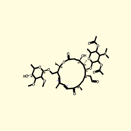 COC1C(OC)[C@H](O)C(C)O[C@H]1OCC1/C=C(C)/C=C/C(=O)[C@H](C)C[C@H](CC=O)[C@H](OC2OC(C)C(OC(C)=O)C(N(C)C)C2OC(C)=O)[C@@H](C)[C@H](O)CC(=O)O[C@@H]1I